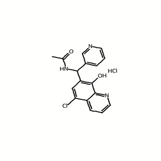 CC(=O)NC(c1cccnc1)c1cc(Cl)c2cccnc2c1O.Cl